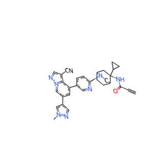 C#CC(=O)NC1(C2CC2)CC2CCC1CN2c1ccc(-c2cc(-c3cnn(C)c3)cn3ncc(C#N)c23)cn1